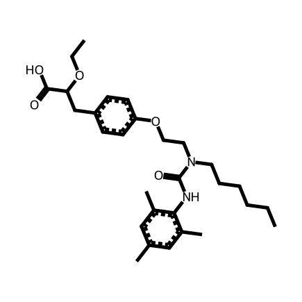 CCCCCCN(CCOc1ccc(CC(OCC)C(=O)O)cc1)C(=O)Nc1c(C)cc(C)cc1C